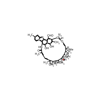 CO[C@H]1/C=C/O[C@@H](C)Oc2c(C)c(O)c3c(O)c(c4c(nc5cc(C)ccn54)c3c2C=O)NC(=O)/C(C)=C\C=C\C(C)(C)[C@H](C)[C@H](O)[C@@H](C)[C@@H](O)[C@@H](C)[C@H](OC(C)=O)[C@@H]1C